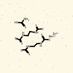 NC(=S)S.S=C([S-])NCCNC(=S)[S-].S=C([S-])NCCNC(=S)[S-].[Mn+2].[Zn+2]